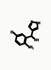 O=[N+]([O-])c1ccc(Cl)cc1C(O)c1cn[nH]c1